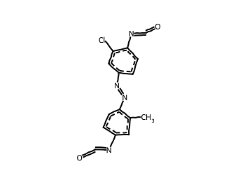 Cc1cc(N=C=O)ccc1/N=N/c1ccc(N=C=O)c(Cl)c1